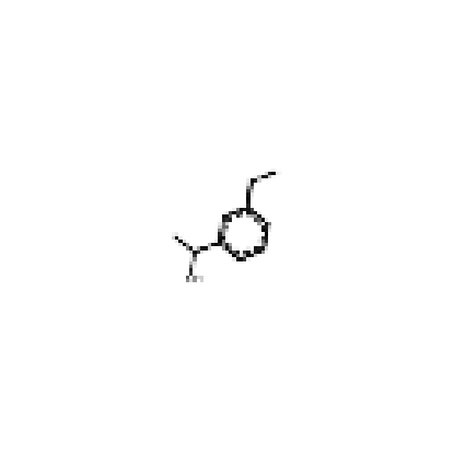 [CH2]Cc1cccc(C(C)O)c1